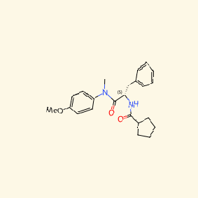 COc1ccc(N(C)C(=O)[C@H](Cc2ccccc2)NC(=O)C2CCCC2)cc1